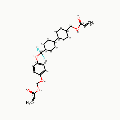 C=CC(=O)OCOc1ccc(OC(F)(F)C2CCC(C3CCC(COC(=O)C=C)CC3)CC2)cc1